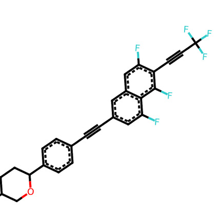 CC1CCC(c2ccc(C#Cc3cc(F)c4c(F)c(C#CC(F)(F)F)c(F)cc4c3)cc2)OC1